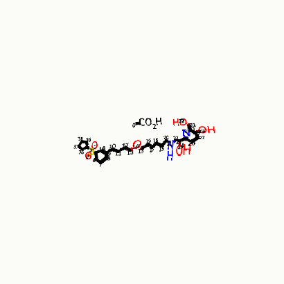 CC(=O)O.O=S(=O)(c1cccc(CCCCOCCCCCCNCC(O)c2ccc(O)c(CO)n2)c1)C1CCCC1